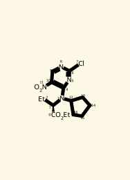 CCOC(=O)[C@@H](CC)N(c1nc(Cl)ncc1[N+](=O)[O-])C1CCCC1